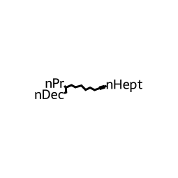 [CH2]CCCCCCC#CCCCCCCC(CCC)CCCCCCCCCC[CH2]